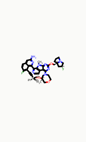 CC(C)[Si](C#Cc1c(F)ccc2cc(N)nc(-c3nccc4c5c(N6CCOC[C@@](C)(O)C6)nc(OC[C@@]67CCCN6C[C@H](F)C7)nc5n(C)c34)c12)(C(C)C)C(C)C